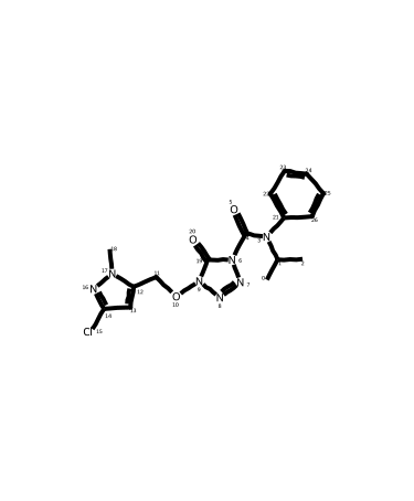 CC(C)N(C(=O)n1nnn(OCc2cc(Cl)nn2C)c1=O)c1ccccc1